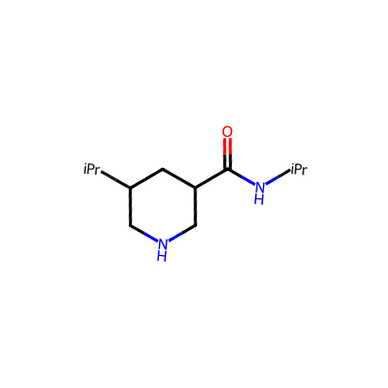 CC(C)NC(=O)C1CNCC(C(C)C)C1